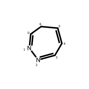 [C]1=NN=CC=CC1